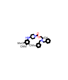 COc1cc(NC2CCN(C(=O)OC[C@H](C)N(Cc3ccccc3)Cc3ccccc3)CC2)cc(OC)c1OC